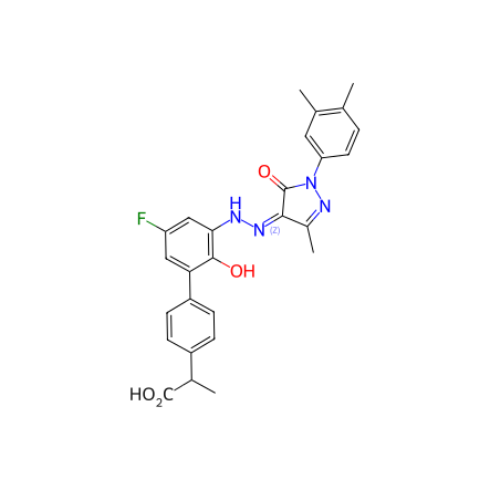 CC1=NN(c2ccc(C)c(C)c2)C(=O)/C1=N\Nc1cc(F)cc(-c2ccc(C(C)C(=O)O)cc2)c1O